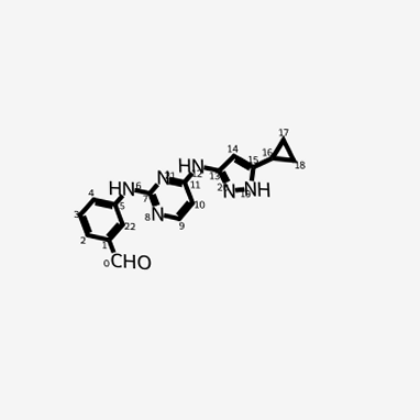 O=Cc1cccc(Nc2nccc(Nc3cc(C4CC4)[nH]n3)n2)c1